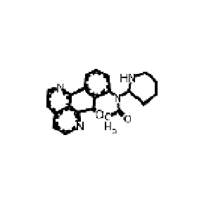 CC(=O)N(c1cccc2c1C(=O)c1nccc3ccnc-2c13)C1CCCCN1